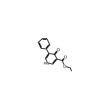 CCOC(=O)c1c[nH]cc(-c2ccccc2)c1=O